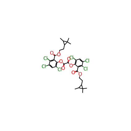 CC1C(CCOC(=O)c2c(Cl)c(Cl)cc(Cl)c2OC(=O)C(=O)Oc2c(Cl)cc(Cl)c(Cl)c2C(=O)OCCC2C(C)C2(C)C)C1(C)C